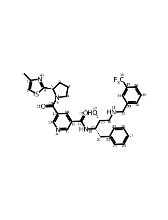 Cc1csc([C@H]2CCCN2C(=O)c2cncc(C(=O)N[C@@H](Cc3ccccc3)[C@H](O)CNCc3cccc(C(F)(F)F)c3)c2)n1